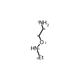 CCNOCCN